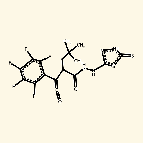 CC(C)(C)CC(C(=O)NNc1n[nH]c(=S)s1)C(=C=O)c1c(F)c(F)c(F)c(F)c1F